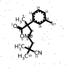 COC(=O)C(C)(CCCC(C)(C)C#N)c1cccc(I)c1